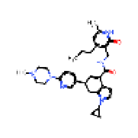 CCCc1cc(C)[nH]c(=O)c1CNC(=O)C1=CC(c2ccc(N3CCN(C)CC3)nc2)Cc2c1ccn2C1CC1